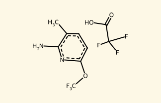 Cc1ccc(OC(F)(F)F)nc1N.O=C(O)C(F)(F)F